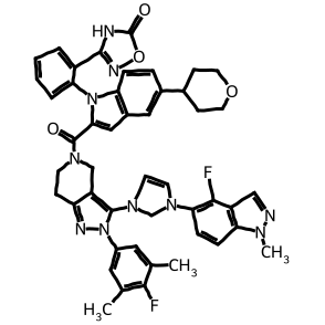 Cc1cc(-n2nc3c(c2N2C=CN(c4ccc5c(cnn5C)c4F)C2)CN(C(=O)c2cc4cc(C5CCOCC5)ccc4n2-c2ccccc2-c2noc(=O)[nH]2)CC3)cc(C)c1F